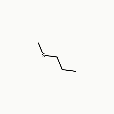 CC[CH]SC